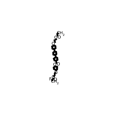 C=CC(=O)OCCCOc1ccc(-c2ccc(-c3ccc(C(=O)Oc4ccc(OCCOC(=O)C(=C)F)cc4)cc3)cc2)cc1